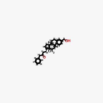 C[C@]12CC[C@@H]3c4ccc(CO)cc4CC[C@H]3[C@@H]1CC[C@@H]2CCC(=O)Cc1ccccc1